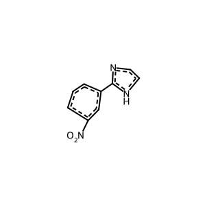 O=[N+]([O-])c1cccc(-c2ncc[nH]2)c1